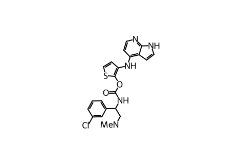 CNCC(NC(=O)Oc1sccc1Nc1ccnc2[nH]ccc12)c1cccc(Cl)c1